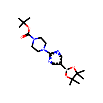 CC(C)(C)OC(=O)N1CCN(c2ncc(B3OC(C)(C)C(C)(C)O3)cn2)CC1